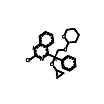 Clc1nc([C@@](COC2CCCCO2)(OC2CC2)c2ccccc2)c2ccccc2n1